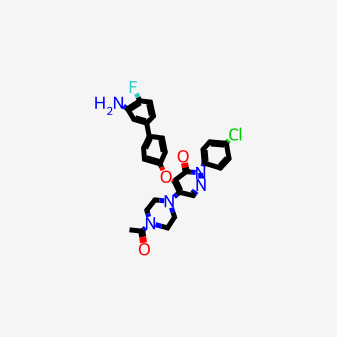 CC(=O)N1CCN(c2cnn(-c3ccc(Cl)cc3)c(=O)c2Oc2ccc(-c3ccc(F)c(N)c3)cc2)CC1